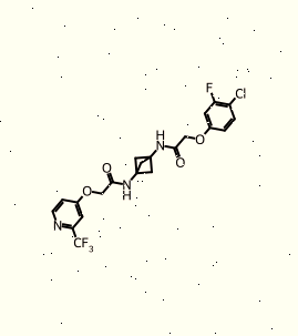 O=C(COc1ccnc(C(F)(F)F)c1)NC12CC(NC(=O)COc3ccc(Cl)c(F)c3)(C1)C2